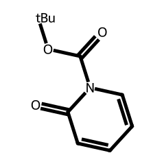 CC(C)(C)OC(=O)n1ccccc1=O